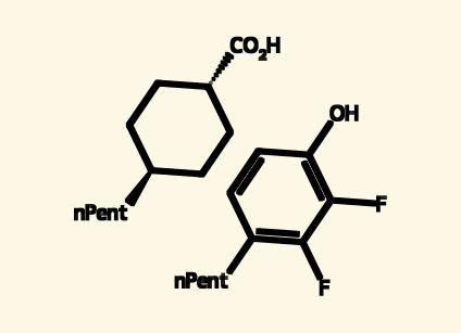 CCCCC[C@H]1CC[C@H](C(=O)O)CC1.CCCCCc1ccc(O)c(F)c1F